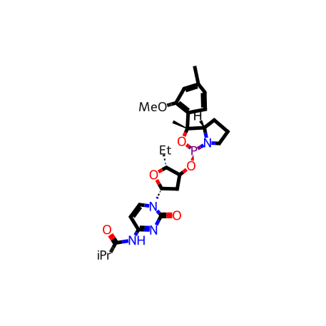 CC[C@H]1O[C@@H](n2ccc(NC(=O)C(C)C)nc2=O)CC1O[P@@]1O[C@](C)(c2ccc(C)cc2OC)[C@@H]2CCCN21